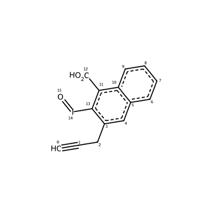 C#CCc1cc2ccccc2c(C(=O)O)c1I=O